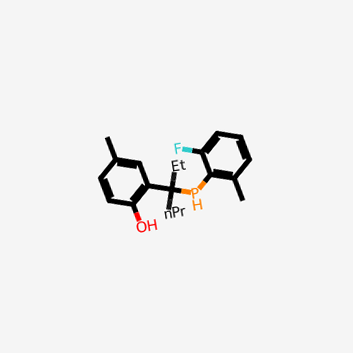 CCCC(CC)(Pc1c(C)cccc1F)c1cc(C)ccc1O